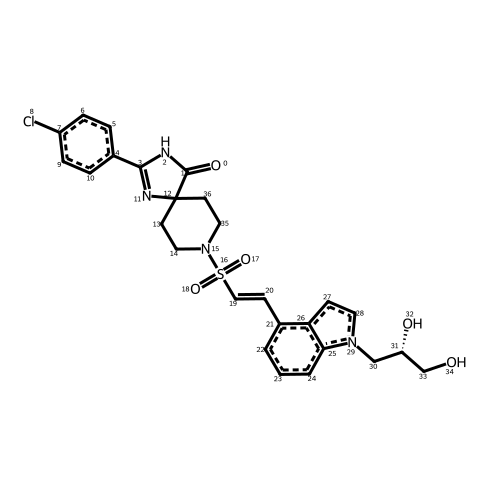 O=C1NC(c2ccc(Cl)cc2)=NC12CCN(S(=O)(=O)C=Cc1cccc3c1ccn3C[C@H](O)CO)CC2